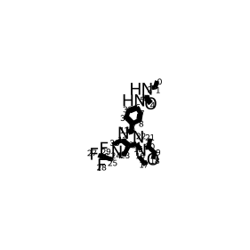 CCNC(=O)Nc1ccc(-c2nc3c(c(N4CCOCC4C)n2)CN(CC(F)(F)F)C3)cc1